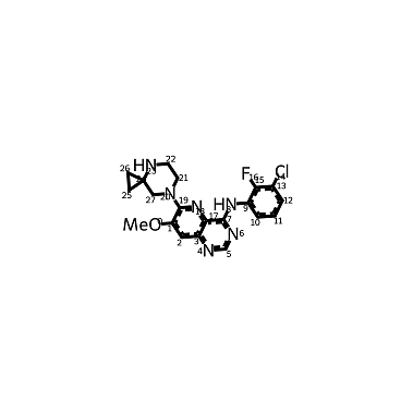 COc1cc2ncnc(Nc3cccc(Cl)c3F)c2nc1N1CCNC2(CC2)C1